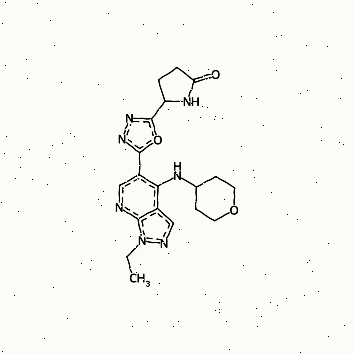 CCn1ncc2c(NC3CCOCC3)c(-c3nnc(C4CCC(=O)N4)o3)cnc21